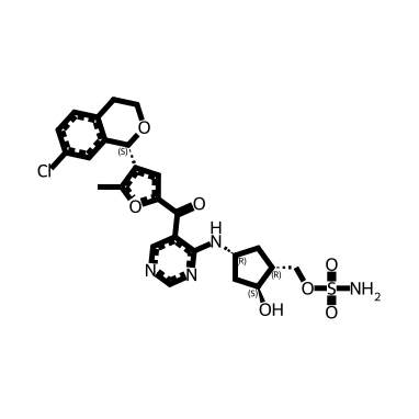 Cc1oc(C(=O)c2cncnc2N[C@@H]2C[C@H](COS(N)(=O)=O)[C@@H](O)C2)cc1[C@H]1OCCc2ccc(Cl)cc21